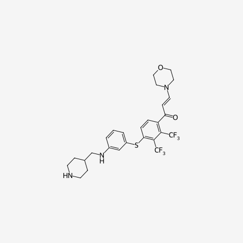 O=C(C=CN1CCOCC1)c1ccc(Sc2cccc(NCC3CCNCC3)c2)c(C(F)(F)F)c1C(F)(F)F